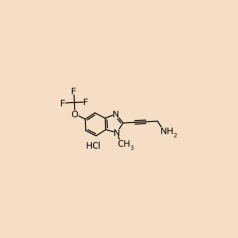 Cl.Cn1c(C#CCN)nc2cc(OC(F)(F)F)ccc21